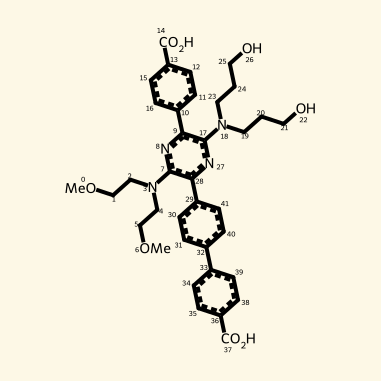 COCCN(CCOC)c1nc(-c2ccc(C(=O)O)cc2)c(N(CCCO)CCCO)nc1-c1ccc(-c2ccc(C(=O)O)cc2)cc1